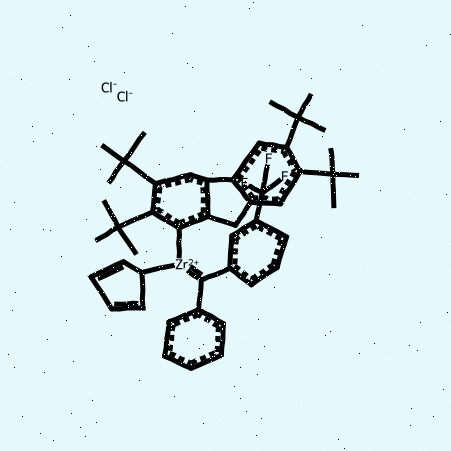 CC(C)(C)c1cc2c(cc1C(C)(C)C)-c1cc(C(C)(C)C)c(C(C)(C)C)[c]([Zr+2](=[C](c3ccccc3)c3cccc(C(F)(F)F)c3)[CH]3C=CC=C3)c1C2.[Cl-].[Cl-]